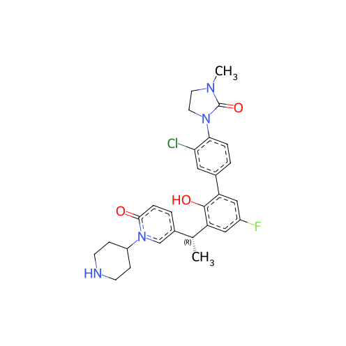 C[C@H](c1ccc(=O)n(C2CCNCC2)c1)c1cc(F)cc(-c2ccc(N3CCN(C)C3=O)c(Cl)c2)c1O